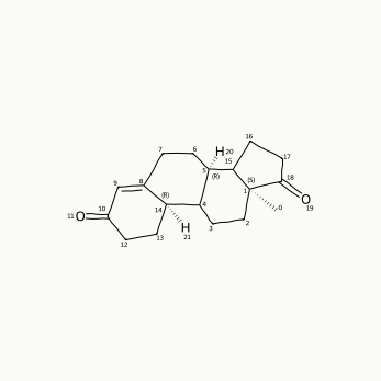 C[C@]12CCC3[C@@H](CCC4=CC(=O)CC[C@@H]43)C1CCC2=O